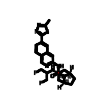 Cc1nnc(-c2ccc3cnc(NC(=O)N4[C@@H]5CC[C@H]4C[C@H](NC(CF)CF)C5)cc3c2)s1